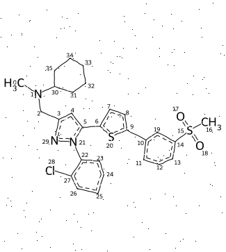 CN(Cc1cc(-c2ccc(-c3cccc(S(C)(=O)=O)c3)s2)n(-c2ccccc2Cl)n1)C1CCCCC1